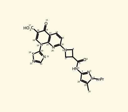 CCCn1nc(NC(=O)C2CN(c3ccc4c(=O)c(C(=O)O)cn(-c5ncns5)c4n3)C2)cc1C